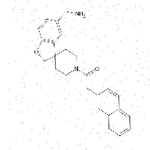 NCc1ccc2c(c1)C1(CCN(C(=O)Cc3ccc4ccccc4c3)CC1)CO2